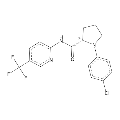 O=C(Nc1ccc(C(F)(F)F)cn1)[C@@H]1CCCN1c1ccc(Cl)cc1